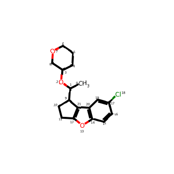 CC(OC1CCCOC1)C1CCc2oc3ccc(Cl)cc3c21